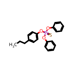 CCCc1ccc(OP(=S)(Oc2ccccc2)Oc2ccccc2)cc1